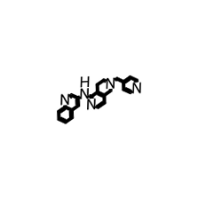 c1ccc2ncc(Nc3nccc4c3CCN(Cc3ccncc3)C4)cc2c1